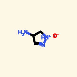 NC1C=N[NH+]([O-])C1